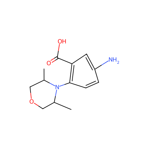 CC1COCC(C)N1c1ccc(N)cc1C(=O)O